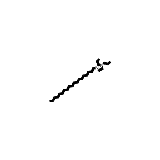 CCCCCCCCCCCCCCCCCCCN1C=CN(CCC)C1CC